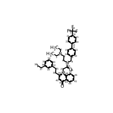 CCN(CC)CCN(Cc1ccc(-c2ccc(C(F)(F)F)cc2)cc1)C(=O)Cn1c(CCc2cccc(CI)c2)cc(=O)c2ccccc21